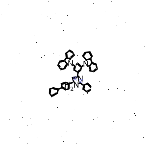 N/C(=N\C(=C/Cc1ccc(-c2ccccc2)cc1)c1cc(N2c3ccccc3C3C=CC=CC32)cc(-n2c3ccccc3c3ccccc32)c1)c1ccccc1